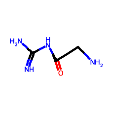 N=C(N)NC(=O)CN